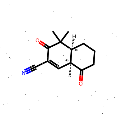 CC1(C)C(=O)C(C#N)=C[C@]2(C)C(=O)CCC[C@H]12